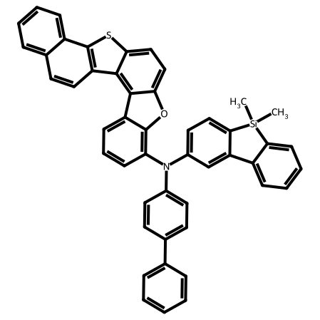 C[Si]1(C)c2ccccc2-c2cc(N(c3ccc(-c4ccccc4)cc3)c3cccc4c3oc3ccc5sc6c7ccccc7ccc6c5c34)ccc21